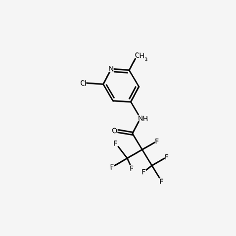 Cc1cc(NC(=O)C(F)(C(F)(F)F)C(F)(F)F)cc(Cl)n1